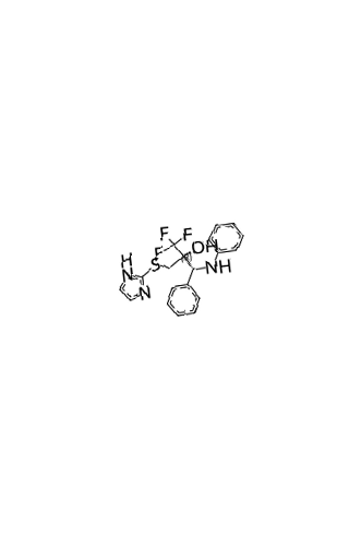 O[C@](CSc1ncc[nH]1)(C(Nc1ccccc1)c1ccccc1)C(F)(F)F